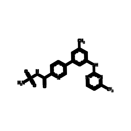 Cc1cc(Nc2nccc(C(F)(F)F)n2)cc(-c2ccc(C(=O)NS(N)(=O)=O)nc2)c1